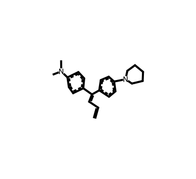 C=CC=C(c1ccc(N(C)C)cc1)c1ccc(N2CCCCC2)cc1